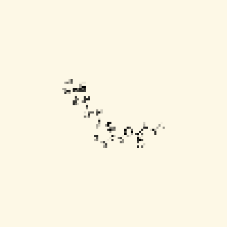 CCCC(=O)OCC(CC)SCCCCCC(C)(F)F